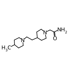 CC1CCN(CCC2CCN(CC(N)=O)CC2)CC1